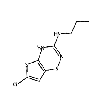 CCCNC1=NSc2cc(Cl)sc2N1